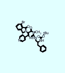 Cn1c(NCC(Cc2ccccc2)NC(=O)OC(C)(C)C)nc(-c2ccncc2)c(N2Cc3cccc(Br)c3C2=O)c1=O